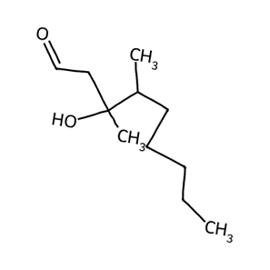 CCCCCC(C)C(C)(O)CC=O